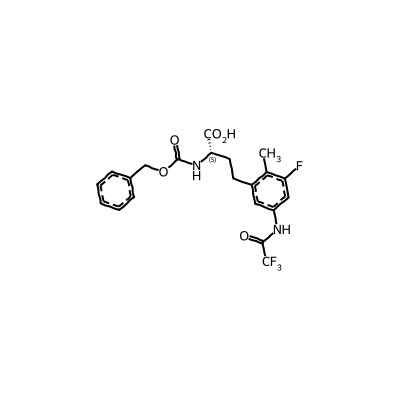 Cc1c(F)cc(NC(=O)C(F)(F)F)cc1CC[C@H](NC(=O)OCc1ccccc1)C(=O)O